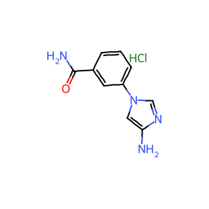 Cl.NC(=O)c1cccc(-n2cnc(N)c2)c1